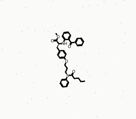 CCCCC(=O)N(CCCOc1ccc(C[C@H](Nc2ccccc2C(=O)c2ccccc2)C(=O)OC)cc1)c1ccccc1